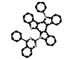 c1ccc(-c2nc(-n3c4ccccc4c4c5c6ccccc6n(-c6ccccc6)c5c5c6ccccc6sc5c43)nc3ccccc23)cc1